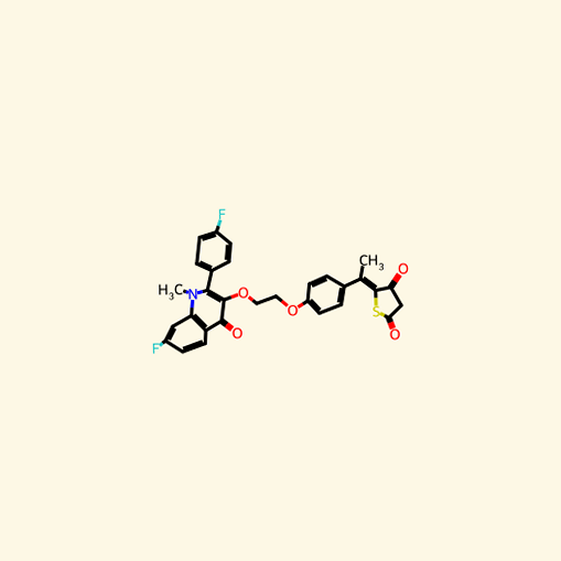 C/C(=C1/SC(=O)CC1=O)c1ccc(OCCOc2c(-c3ccc(F)cc3)n(C)c3cc(F)ccc3c2=O)cc1